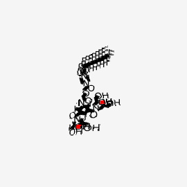 O=C(COCC(=O)N1CCN(S(=O)(=O)C(F)(F)C(F)(F)C(F)(F)C(F)(F)C(F)(F)C(F)(F)C(F)(F)C(F)(F)F)CC1)[N]c1c(I)c(C(=O)N(CC(O)CO)CC(O)CO)c(I)c(C(=O)N(CC(O)CO)CC(O)CO)c1I